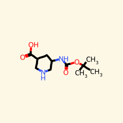 CC(C)(C)OC(=O)NC1CNCC(C(=O)O)C1